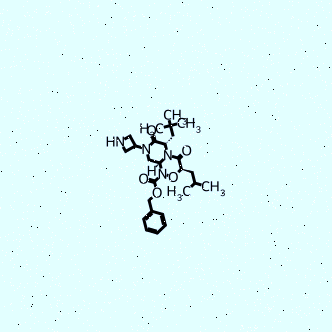 CC(C)C[C@H]1ON(C(=O)OCc2ccccc2)[C@H]2CN(C3CNC3)C(=O)[C@H](CC(C)(C)C)N2C1=O